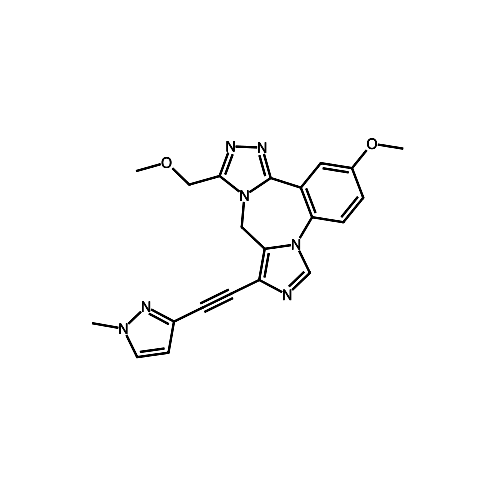 COCc1nnc2n1Cc1c(C#Cc3ccn(C)n3)ncn1-c1ccc(OC)cc1-2